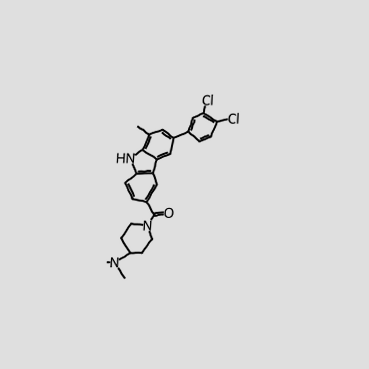 Cc1cc(-c2ccc(Cl)c(Cl)c2)cc2c1[nH]c1ccc(C(=O)N3CCC(N(C)C)CC3)cc12